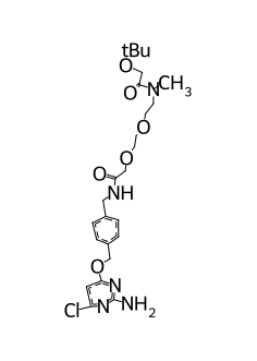 CN(CCOCCOCC(=O)NCc1ccc(COc2cc(Cl)nc(N)n2)cc1)C(=O)COC(C)(C)C